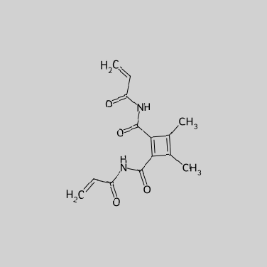 C=CC(=O)NC(=O)C1=C(C(=O)NC(=O)C=C)C(C)=C1C